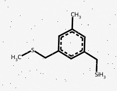 CSCc1cc(C)cc(C[SiH3])c1